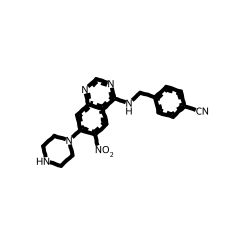 N#Cc1ccc(CNc2ncnc3cc(N4CCNCC4)c([N+](=O)[O-])cc23)cc1